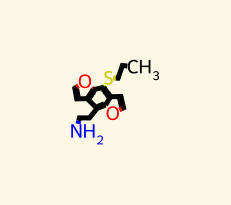 CCCSc1c2ccoc2c(CCN)c2ccoc12